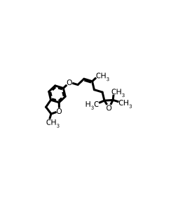 CC(=CCOc1ccc2c(c1)OC(C)C2)CCC1(C)OC1(C)C